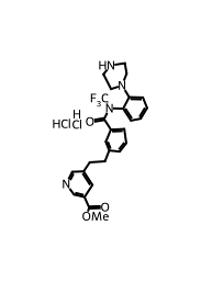 COC(=O)c1cncc(CCc2cccc(C(=O)N(c3ccccc3N3CCNCC3)C(F)(F)F)c2)c1.Cl.Cl